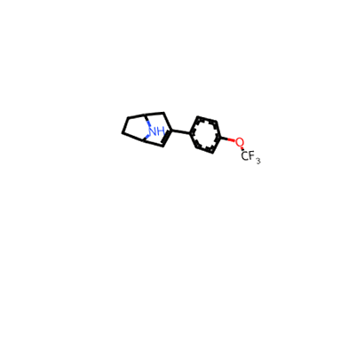 FC(F)(F)Oc1ccc(C2=CC3CCC(C2)N3)cc1